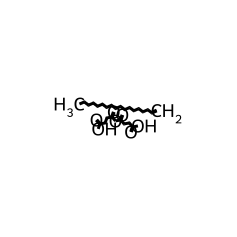 C=CCCCCCCCCCCCCCCCC.O=C(O)CCC(=O)OC(=O)CCC(=O)O